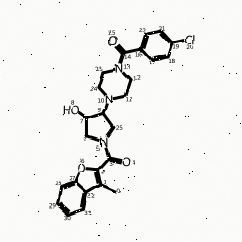 Cc1c(C(=O)N2CC(O)C(N3CCN(C(=O)c4ccc(Cl)cc4)CC3)C2)oc2ccccc12